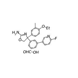 CCOc1ccc(C2(c3cccc(-c4ccc(F)nc4)c3)COC(N)=N2)cc1C.O=CO